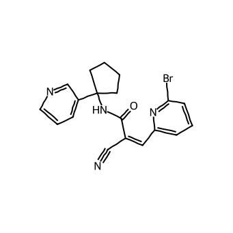 N#CC(=Cc1cccc(Br)n1)C(=O)NC1(c2cccnc2)CCCC1